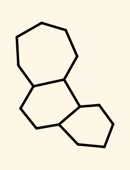 C1CCC2CCC3CCCCC3C2CC1